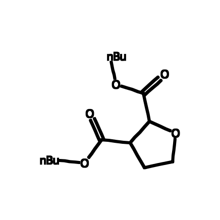 CCCCOC(=O)C1CCOC1C(=O)OCCCC